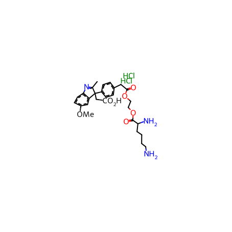 COc1ccc2c(c1)C(CC(=O)O)(c1ccc(CC(=O)OCCOC(=O)C(N)CCCCN)cc1)C(C)=N2.Cl.Cl